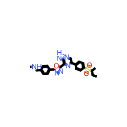 CCC(C)S(=O)(=O)c1ccc(-c2cnc(N)c(-c3nnc(-c4ccc(CNC)cc4)o3)n2)cc1